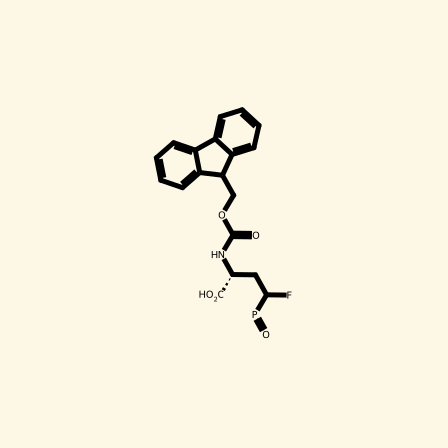 O=PC(F)C[C@@H](NC(=O)OCC1c2ccccc2-c2ccccc21)C(=O)O